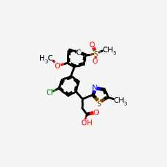 COc1ccc(S(C)(=O)=O)cc1-c1cc(Cl)cc(C(CC(=O)O)c2ncc(C)s2)c1